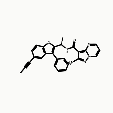 CC#Cc1ccc2oc([C@@H](C)NC(=O)c3c(N)nn4cccnc34)c(-c3ccccc3)c2c1